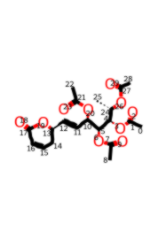 CC(=O)O[C@H]([C@@H](OC(C)=O)[C@@H](/C=C/[C@H]1CC=CC(=O)O1)OC(C)=O)[C@H](C)OC(C)=O